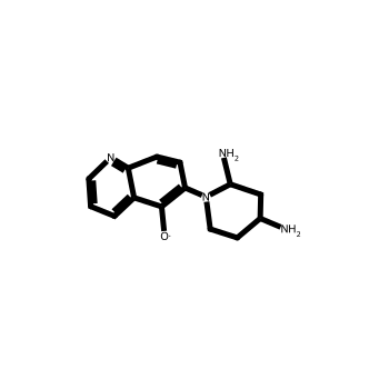 NC1CCN(c2ccc3ncccc3c2[O])C(N)C1